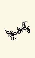 N[C@@H](C(=O)Nc1ccc(-c2ccc3nc(Nc4ccc(C(=O)N5CCCC5)cc4OCC(F)(F)F)nn3c2)cc1)c1ccc(F)cc1